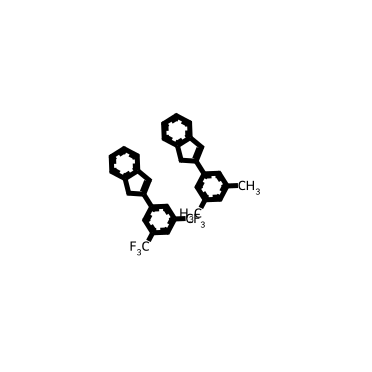 Cc1cc(C)cc(C2=Cc3ccccc3C2)c1.FC(F)(F)c1cc(C2=Cc3ccccc3C2)cc(C(F)(F)F)c1